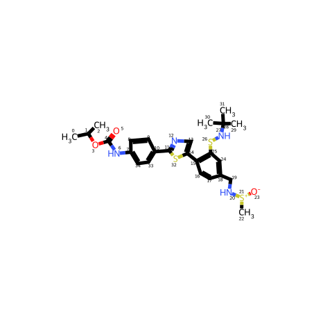 CC(C)OC(=O)Nc1ccc(-c2ncc(-c3ccc(CN[S+](C)[O-])cc3SNC(C)(C)C)s2)cc1